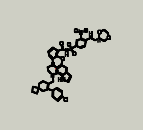 O=C(NS(=O)(=O)c1ccc(NC[C@H]2COCCO2)c([N+](=O)[O-])c1)c1cccc(N2CCN(CC3=C(c4ccc(Cl)cc4)CC4(CCC4)CC3)CC2)c1Oc1cnc2[nH]ccc2c1